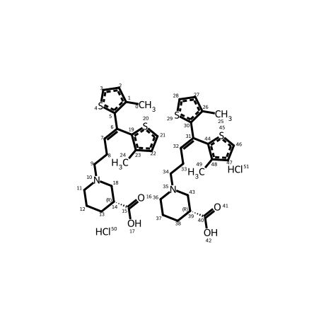 Cc1ccsc1C(=CCCN1CCC[C@@H](C(=O)O)C1)c1sccc1C.Cc1ccsc1C(=CCCN1CCC[C@@H](C(=O)O)C1)c1sccc1C.Cl.Cl